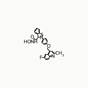 Cc1cc(COc2ccc(N3Sc4ccccc4C3CC(=O)NO)cc2)c2cc(F)ccc2n1